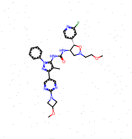 COCCN1C[C@@H](NC(=O)Nc2c(C)c(-c3cnc(N4CC(OC)C4)nc3)nn2-c2ccccc2)[C@H](c2ccnc(F)c2)O1